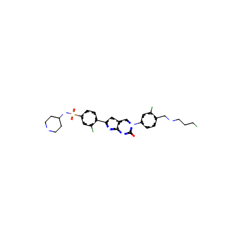 O=c1nc2[nH]c(-c3ccc(S(=O)(=O)NC4CCNCC4)cc3F)cc2cn1-c1ccc(CNCCCF)c(F)c1